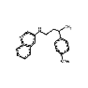 COc1ccc(C(C)CCNc2cnc3ccccc3c2)cc1